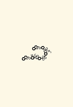 CC(=O)N(Cc1ccc(C(=O)OC(=O)c2cccc(CN(C(C)=O)c3cccc(OCc4ccc5ccccc5n4)c3)c2)cc1)c1ccc(OCc2ccc3ccccc3n2)cc1